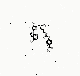 COC(=O)c1ccc(NC(=O)NCCCN(C)C[C@H]2O[C@@H](n3cnc4c(N)ncnc43)[C@H](O)[C@@H]2O)cc1